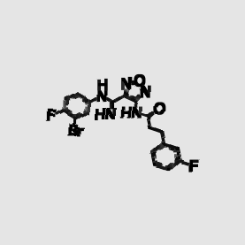 N=C(Nc1ccc(F)c(Br)c1)c1nonc1NC(=O)CCc1cccc(F)c1